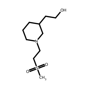 CS(=O)(=O)CCN1CCCC(CCO)C1